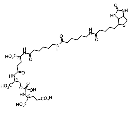 O=C(O)CC[C@H](NP(=O)(O)OC[C@H](NC(=O)CC[C@H](NC(=O)CCCCCNC(=O)CCCCCNC(=O)CCCCC1SCC2NC(=O)NC21)C(=O)O)C(=O)O)C(=O)O